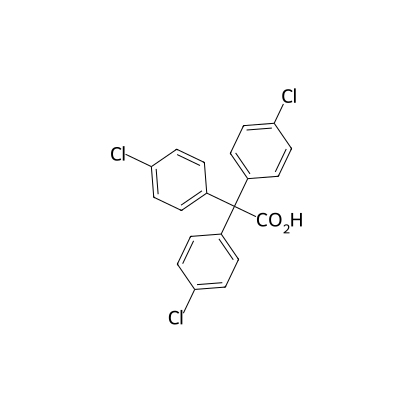 O=C(O)C(c1ccc(Cl)cc1)(c1ccc(Cl)cc1)c1ccc(Cl)cc1